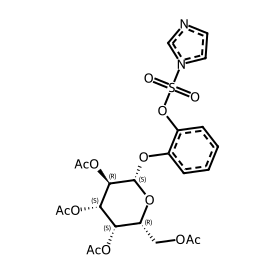 CC(=O)OC[C@H]1O[C@@H](Oc2ccccc2OS(=O)(=O)n2ccnc2)[C@H](OC(C)=O)[C@@H](OC(C)=O)[C@H]1OC(C)=O